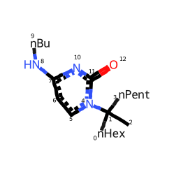 CCCCCCC(C)(CCCCC)n1ccc(NCCCC)nc1=O